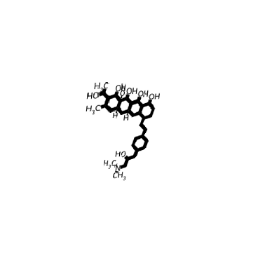 CC(O)C1C(C)C[C@@H]2C[C@@H]3CC4C(CCC5CCC(CC(O)CN(C)C)CC5)CCC(O)C4C(O)C3C(O)[C@]2(O)C1O